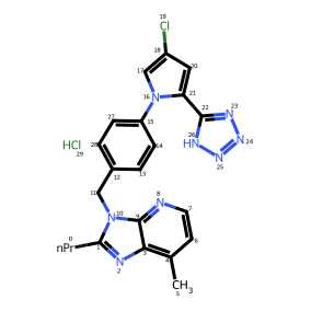 CCCc1nc2c(C)ccnc2n1Cc1ccc(-n2cc(Cl)cc2-c2nnn[nH]2)cc1.Cl